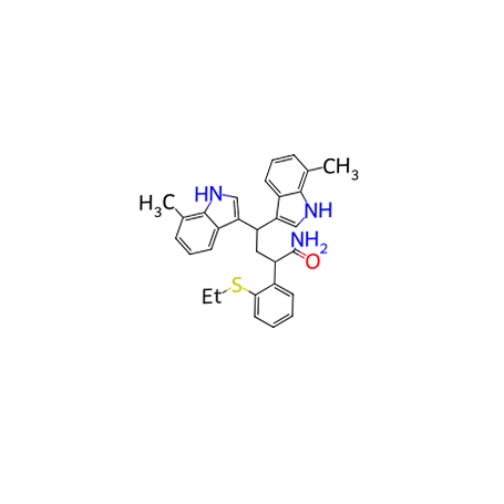 CCSc1ccccc1C(CC(c1c[nH]c2c(C)cccc12)c1c[nH]c2c(C)cccc12)C(N)=O